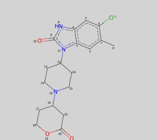 Cc1cc2c(cc1Cl)[nH]c(=O)n2C1CCN(C2CCOC(=O)C2)CC1